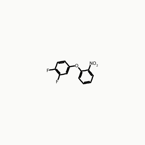 O=[N+]([O-])c1ccccc1Oc1ccc(F)c(F)c1